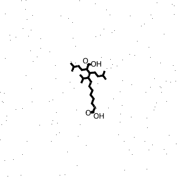 CC(C)CCC(C(=O)O)C(CCC(C)C)C(CCCCCCCC(=O)O)C(C)C